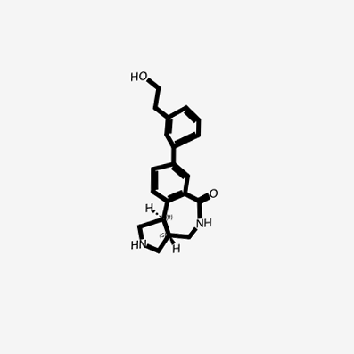 O=C1NC[C@@H]2CNC[C@H]2c2ccc(-c3cccc(CCO)c3)cc21